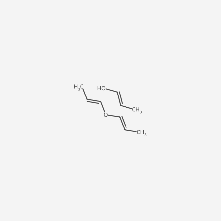 CC=CO.CC=COC=CC